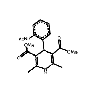 COC(=O)C1=C(C)NC(C)=C(C(=O)OC)C1c1ccccc1NC(C)=O